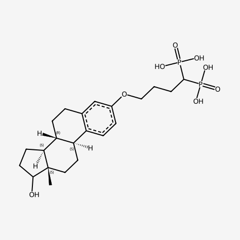 C[C@]12CC[C@@H]3c4ccc(OCCCC(P(=O)(O)O)P(=O)(O)O)cc4CC[C@H]3[C@@H]1CCC2O